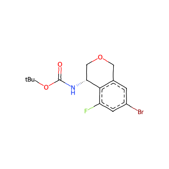 CC(C)(C)OC(=O)N[C@@H]1COCc2cc(Br)cc(F)c21